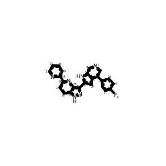 Fc1ccc(-c2cncc3[nH]c(-c4n[nH]c5ccc(-c6ccccn6)nc45)cc23)cc1